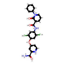 NC(=O)c1cc(Oc2cc(F)c(NC(=O)c3cccn(-c4ccccc4)c3=O)cc2F)ccn1